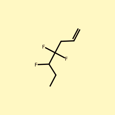 C=CCC(F)(F)C(F)CC